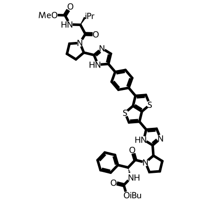 COC(=O)N[C@H](C(=O)N1CCCC1c1ncc(-c2ccc(-c3csc4c(-c5cnc(C6CCCN6C(=O)[C@H](NC(=O)OCC(C)C)c6ccccc6)[nH]5)csc34)cc2)[nH]1)C(C)C